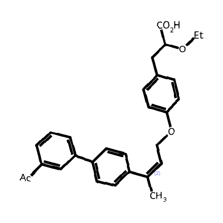 CCOC(Cc1ccc(OC/C=C(/C)c2ccc(-c3cccc(C(C)=O)c3)cc2)cc1)C(=O)O